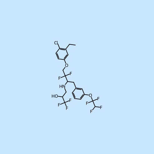 CCc1cc(OCC(F)(F)C(Cc2cccc(OC(F)(F)C(F)F)c2)NCC(O)C(F)(F)F)ccc1Cl